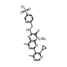 CC[C@@H](C)n1c(=O)c(NCc2ccc(S(=O)(=O)CC)cn2)nc2c(C)nc(-c3c(C)ncnc3C3CC3)nc21